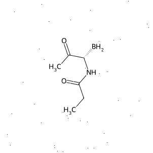 B[C@H](NC(=O)CC)C(C)=O